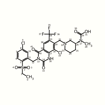 CCS(=O)(=O)c1ccc(Cl)cc1Cn1c(=O)[nH]c2c(Cl)c(CN3CCC[C@H](N(C)C(=O)O)C3)c(C(F)(F)F)cc2c1=O